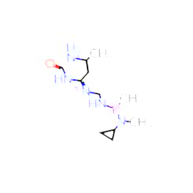 CC(N)C/C(=N\CNP(C)N(C)C1CC1)NC=O